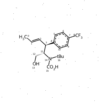 CC=C[C@@H](c1ccc(C(F)(F)F)cc1)[C@@H](CO)N(C(=O)O)C(C)(C)C